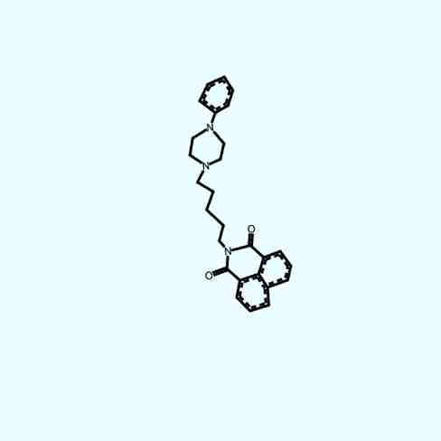 O=C1c2cccc3cccc(c23)C(=O)N1CCCCCN1CCN(c2ccccc2)CC1